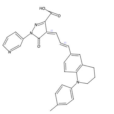 Cc1ccc(N2CCCc3cc(/C=C/C=C4\C(=O)N(c5cccnc5)N=C4C(=O)O)ccc32)cc1